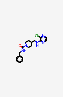 O=C(NCc1ccccc1)N1CCC(CNc2nccnc2Cl)CC1